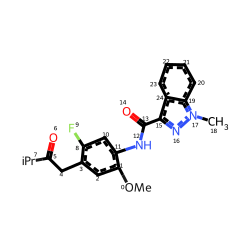 COc1cc(CC(=O)C(C)C)c(F)cc1NC(=O)c1nn(C)c2ccccc12